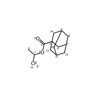 CC(OC(=O)C12CC3CC(CC(C3)C1)C2)C(F)(F)F